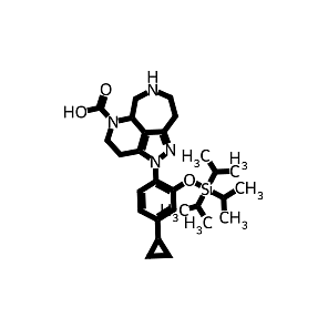 CC(C)[Si](Oc1cc(C2CC2)ccc1-n1nc2c3c1CCN(C(=O)O)C3CNCC2)(C(C)C)C(C)C